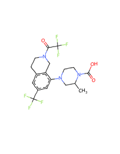 CC1CN(c2cc(C(F)(F)F)cc3c2CN(C(=O)C(F)(F)F)CC3)CCN1C(=O)O